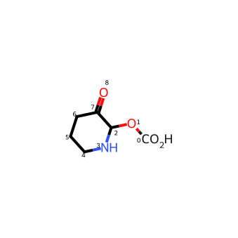 O=C(O)OC1NCCCC1=O